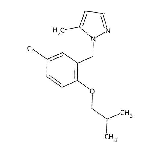 Cc1c[c]nn1Cc1cc(Cl)ccc1OCC(C)C